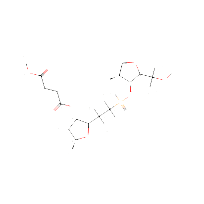 C=P(C)(O[C@@H]1C(C(C)(C)OC)O[C@@H](C)[C@@H]1C)C(C)(C)C(C)(C)C1O[C@@H](C)[C@H](C)[C@@H]1OC(=O)CCC(=O)OC